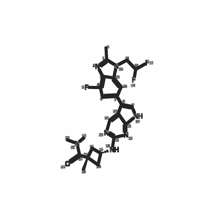 Cc1nc2c(F)cc(-c3c[nH]c4nc(N[C@H]5C[C@@](C)(C(=O)N(C)C)C5)ncc34)cc2n1CC(F)F